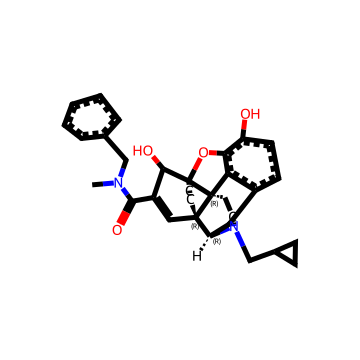 CN(Cc1ccccc1)C(=O)C1=C[C@]23CCC4(Oc5c(O)ccc6c5[C@]42CCN(CC2CC2)[C@@H]3C6)C1O